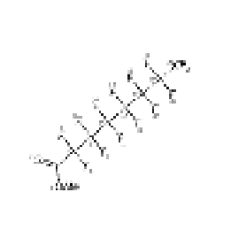 COC(=S)C(F)(F)C(F)(F)C(F)(F)C(F)(F)C(F)(F)C(F)(F)C(F)(F)F